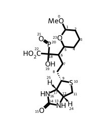 COC1CCCC(C(CC[C@@H]2SC[C@@H]3NC(=O)N[C@@H]32)C(O)(P=O)C(=O)O)O1